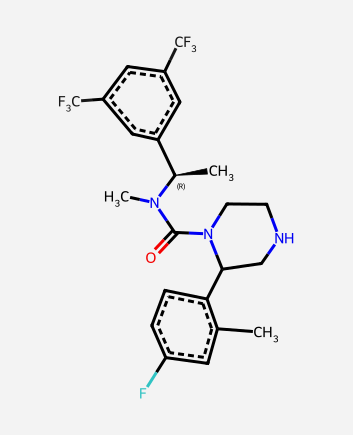 Cc1cc(F)ccc1C1CNCCN1C(=O)N(C)[C@H](C)c1cc(C(F)(F)F)cc(C(F)(F)F)c1